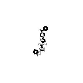 O=C(Nc1ccc(N2CCN(C(=O)c3ccccc3)CC2)nc1)c1nnc(Nc2ccccc2F)o1